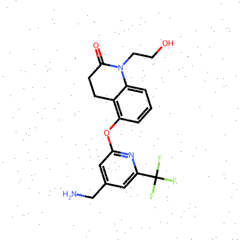 NCc1cc(Oc2cccc3c2CCC(=O)N3CCO)nc(C(F)(F)F)c1